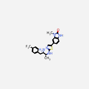 C[C@H](Nc1ncc(-c2ccc3[nH]c(=O)n(C)c3c2)s1)[C@H](N)Cc1ccc(C(F)(F)F)cc1